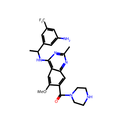 COc1cc2c(NC(C)c3cc(N)cc(C(F)(F)F)c3)nc(C)nc2cc1C(=O)N1CCNCC1